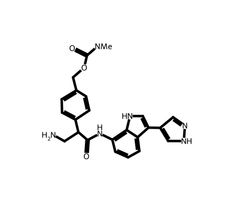 CNC(=O)OCc1ccc(C(CN)C(=O)Nc2cccc3c(-c4cn[nH]c4)c[nH]c23)cc1